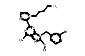 C=CCCCn1ccnc1-c1nc(N)c2nc(OCC)n(Cc3cccc(Br)c3)c2n1